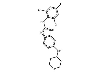 Fc1cc(Cl)c(Nc2nc3cnc(NC4CCOCC4)nc3[nH]2)c(Cl)c1